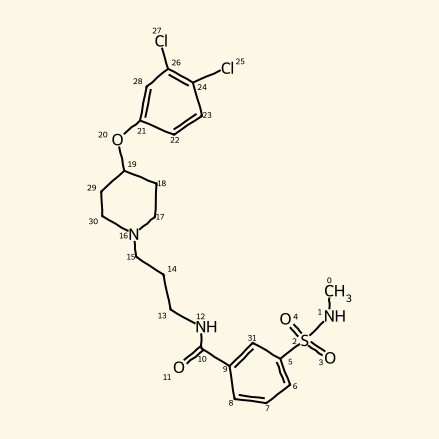 CNS(=O)(=O)c1cccc(C(=O)NCCCN2CCC(Oc3ccc(Cl)c(Cl)c3)CC2)c1